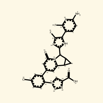 Nc1ccc(-c2[nH]c(C3C4CC4c4cc(-c5cc(Cl)ccc5-n5cc(C(=O)O)nn5)cc(=O)n43)nc2F)c(F)n1